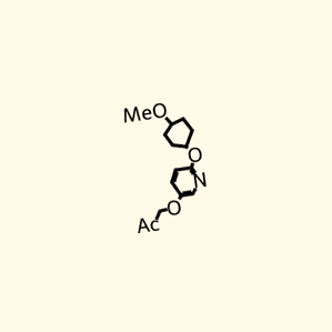 COC1CCC(Oc2ccc(OCC(C)=O)cn2)CC1